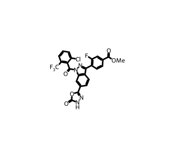 COC(=O)c1ccc(-c2nn(C(=O)c3c(Cl)cccc3C(F)(F)F)c3cc(-c4n[nH]c(=O)o4)ccc23)c(F)c1